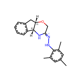 Cc1cc(C)c(N/N=C2/CO[C@H]3Cc4ccccc4[C@H]3N2)c(C)c1